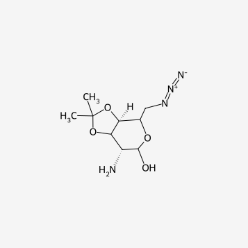 CC1(C)OC2[C@@H](N)C(O)OC(CN=[N+]=[N-])[C@@H]2O1